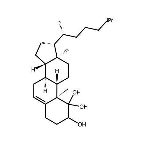 CC(C)CCC[C@@H](C)[C@H]1CC[C@H]2[C@@H]3CC=C4CCC(O)C(O)(O)[C@]4(C)[C@H]3CC[C@]12C